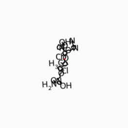 Cc1c(COc2cc(OCc3cncc(C#N)c3)c(CN3CCCC[C@H]3C(=O)O)cc2Cl)cccc1-c1cccc(OCCCN2C[C@H](O)C[C@H]2C(N)=O)c1Cl